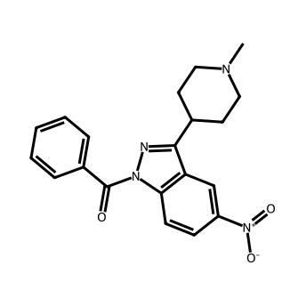 CN1CCC(c2nn(C(=O)c3ccccc3)c3ccc([N+](=O)[O-])cc23)CC1